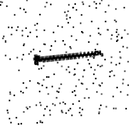 CCCCCCCCCCCCCCCCCCCCCCCCCCCCCCN1CCCC1=O